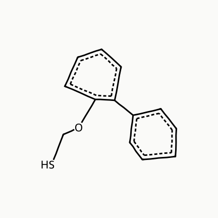 SCOc1ccccc1-c1ccccc1